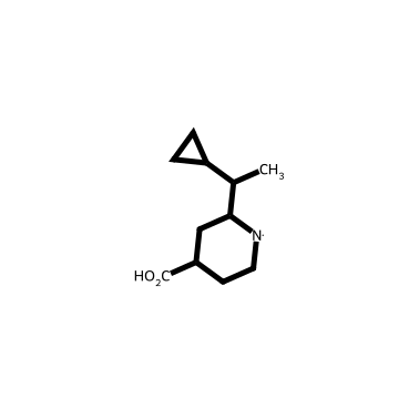 CC(C1CC1)C1CC(C(=O)O)CC[N]1